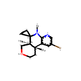 CCN1c2ncc(Br)cc2[C@@H]2CCOC[C@H]2C12CC2